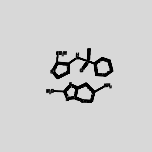 Cc1nc2ccc(N)cc2s1.O=C(O)c1sccc1NS(=O)(=O)c1ccccc1